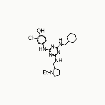 CCN1CCCC1CNc1nc(NCC2CCCCC2)nc(Nc2ccc(O)c(Cl)c2)n1